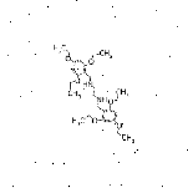 CCOc1cc(OCC)c(CNCCNCc2c(OCC)cc(OCC)cc2OCC)c(OCC)c1